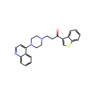 O=C(CCN1CCN(c2ccnc3ccccc23)CC1)c1csc2ccccc12